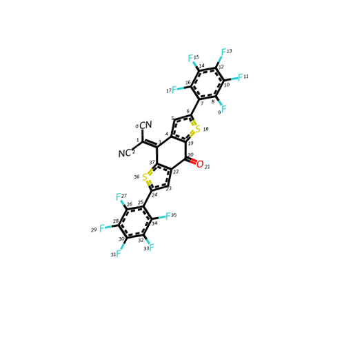 N#CC(C#N)=C1c2cc(-c3c(F)c(F)c(F)c(F)c3F)sc2C(=O)c2cc(-c3c(F)c(F)c(F)c(F)c3F)sc21